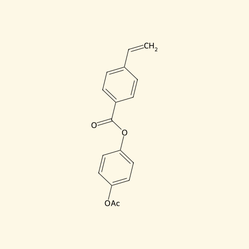 C=Cc1ccc(C(=O)Oc2ccc(OC(C)=O)cc2)cc1